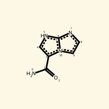 NC(=O)c1c[nH]c2nccn12